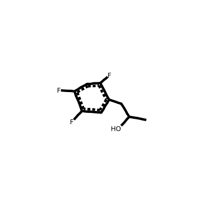 CC(O)Cc1cc(F)c(F)cc1F